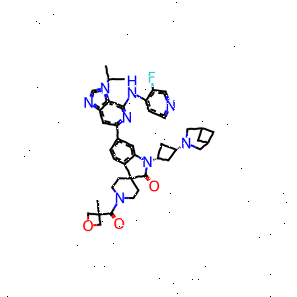 CC(C)n1cnc2cc(-c3ccc4c(c3)N([C@H]3C[C@@H](N5CC6CC(C6)C5)C3)C(=O)C43CCN(C(=O)C4(C)COC4)CC3)nc(Nc3ccncc3F)c21